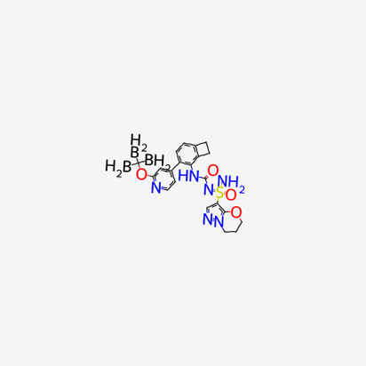 BC(B)(B)Oc1cc(-c2ccc3c(c2NC(=O)N=S(N)(=O)c2cnn4c2OCCC4)CC3)ccn1